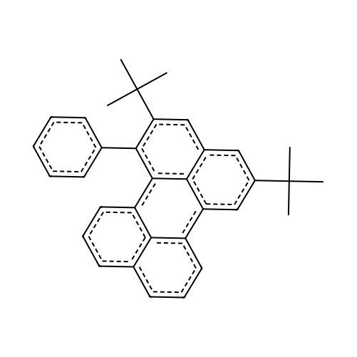 CC(C)(C)c1cc2cc(C(C)(C)C)c(-c3ccccc3)c3c4cccc5cccc(c(c1)c23)c54